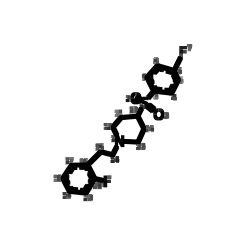 O=S(=O)(c1ccc(F)cc1)C1CCN(CCc2ccccc2F)CC1